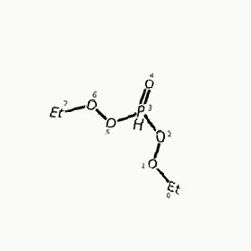 CCOO[PH](=O)OOCC